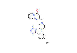 CC(C)Cc1ccc(C2N=NNN2)c(N2CCN(Cc3cc(=O)n4ccccc4n3)CC2)c1